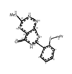 CCCOc1ccccc1-c1nc2nnc(SC)nc2c(=O)[nH]1